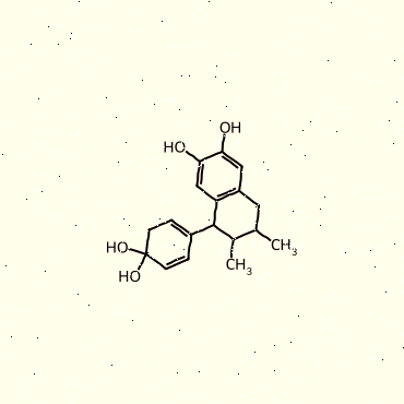 CC1Cc2cc(O)c(O)cc2C(C2=CCC(O)(O)C=C2)C1C